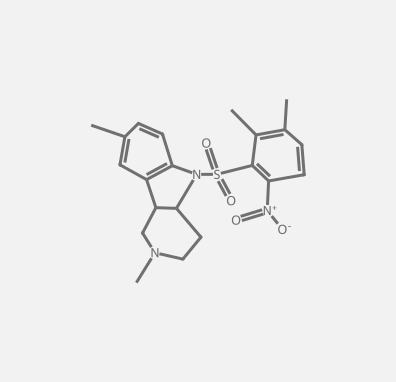 Cc1ccc2c(c1)C1CN(C)CCC1N2S(=O)(=O)c1c([N+](=O)[O-])ccc(C)c1C